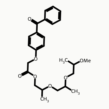 COC(C)COC(C)COC(C)COC(=O)COc1ccc(C(=O)c2ccccc2)cc1